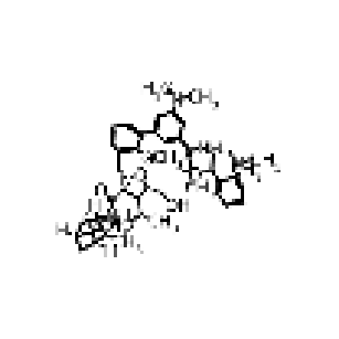 COc1c(CN2O[C@@H](CO)[C@@H]([C@H](C)O)[C@H]2C(=O)N[C@H]2C[C@H]3C[C@@H]([C@@H]2C)C3(C)C)cccc1-c1cc(C(=O)N[C@H](CN(C)C)[C@H](OC)c2ccccc2)cc(N(C)C)c1